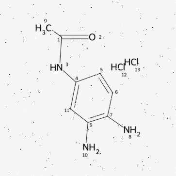 CC(=O)Nc1ccc(N)c(N)c1.Cl.Cl